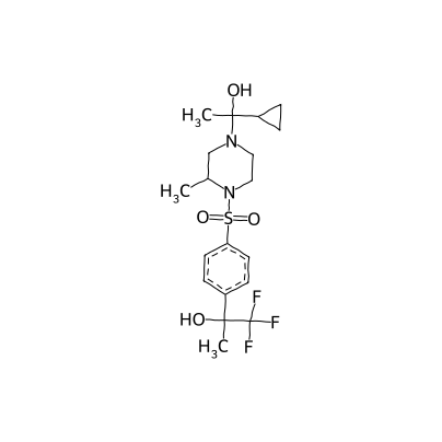 CC1CN(C(C)(O)C2CC2)CCN1S(=O)(=O)c1ccc(C(C)(O)C(F)(F)F)cc1